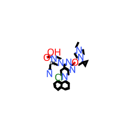 CCN1CCN(C2(COc3nc4c(c(N5CCN(C(=O)O)[C@@H](CC#N)C5)n3)CCN(c3cccc5cccc(Cl)c35)C4)CC2)CC1